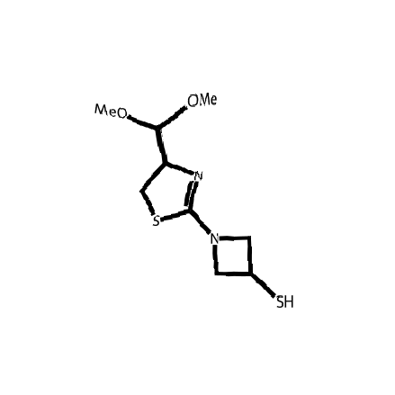 COC(OC)C1CSC(N2CC(S)C2)=N1